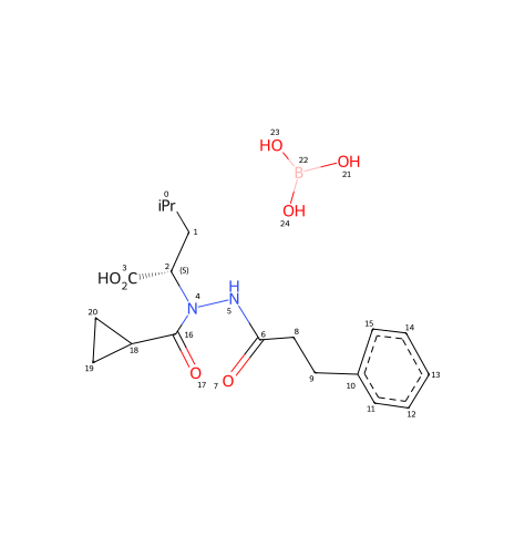 CC(C)C[C@@H](C(=O)O)N(NC(=O)CCc1ccccc1)C(=O)C1CC1.OB(O)O